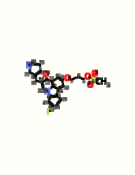 CS(=O)(=O)OCCCOc1cc2c(=O)c(Cc3cccnc3)cn3c4cc(F)ccc4c(c1)c23